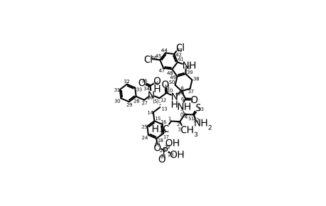 CCC(C)[C@H](NC(=O)[C@@]1(NC(=O)[C@H](CCc2ccc(OP(=O)(O)O)cc2)N(Cc2ccccc2)C(=O)O)CCc2[nH]c3c(Cl)cc(Cl)cc3c2C1)C(N)=S